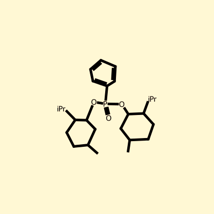 CC1CCC(C(C)C)C(OP(=O)(OC2CC(C)CCC2C(C)C)c2ccccc2)C1